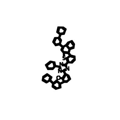 c1ccc(-c2cccc(-c3cc4sc5c(-c6nc(-c7ccccc7)nc(-c7cccc8c7oc7c(-c9ccccc9)cccc78)n6)cccc5c4c4ccccc34)c2)cc1